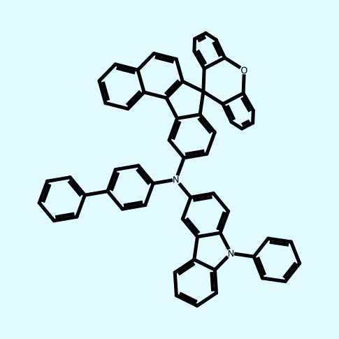 c1ccc(-c2ccc(N(c3ccc4c(c3)-c3c(ccc5ccccc35)C43c4ccccc4Oc4ccccc43)c3ccc4c(c3)c3ccccc3n4-c3ccccc3)cc2)cc1